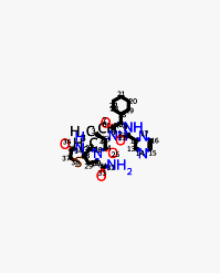 CC(C)(C)[C@H](NC(=O)[C@@H](NC(=O)c1cnccn1)C1CCCCC1)C(=O)N1CC2(C[C@H]1C(N)=O)NC(=O)CS2